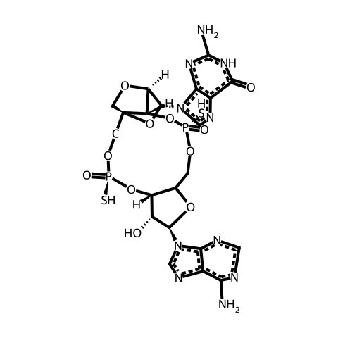 Nc1nc2c(ncn2[C@@H]2O[C@@]34CO[C@@H]2[C@@H]3O[P@](=O)(S)OCC2O[C@@H](n3cnc5c(N)ncnc53)[C@H](O)[C@@H]2O[P@@](=O)(S)OC4)c(=O)[nH]1